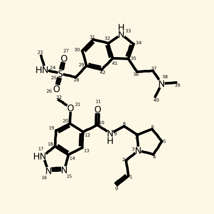 C=CCN1CCCC1CNC(=O)c1cc2nn[nH]c2cc1OC.CNS(=O)(=O)Cc1ccc2[nH]cc(CCN(C)C)c2c1